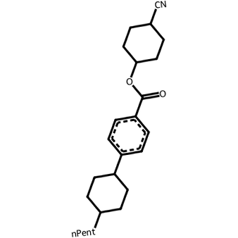 CCCCCC1CCC(c2ccc(C(=O)OC3CCC(C#N)CC3)cc2)CC1